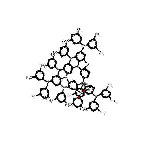 Cc1cc(C)cc(N(c2cc(C)cc(C)c2)c2cc3c4c(c2)N(c2cc(C)cc(C)c2)c2cc5c(cc2B4c2cc(C(C)(C)C)ccc2O3)B2c3cc4c(cc3N(c3cc(C)cc(C)c3)c3cc(N(c6cc(C)cc(C)c6)c6cc(C)cc(C)c6)cc(c32)N5c2cc(C)cc(C)c2)N(c2cc(C)cc(C)c2)c2cc(N(c3cc(C)cc(C)c3)c3cc(C)cc(C)c3)cc3c2B4c2cc(C(C)(C)C)ccc2O3)c1